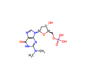 CN(C)c1nc2c(ncn2[C@H]2C[C@H](O)[C@@H](COP(=O)(O)O)O2)c(=O)[nH]1